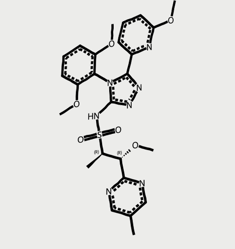 COc1cccc(-c2nnc(NS(=O)(=O)[C@H](C)[C@H](OC)c3ncc(C)cn3)n2-c2c(OC)cccc2OC)n1